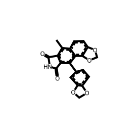 Cc1c2c(c(-c3ccc4c(c3)OCO4)c3c4c(ccc13)OCO4)C(=O)NC2=O